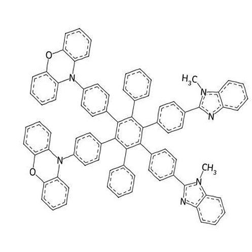 Cn1c(-c2ccc(-c3c(-c4ccccc4)c(-c4ccc(N5c6ccccc6Oc6ccccc65)cc4)c(-c4ccc(N5c6ccccc6Oc6ccccc65)cc4)c(-c4ccccc4)c3-c3ccc(-c4nc5ccccc5n4C)cc3)cc2)nc2ccccc21